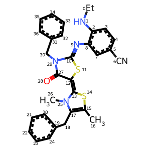 CCNc1ccc(C#N)cc1N=C1SC(=C2SC(C)=C(Cc3ccccc3)N2C)C(=O)N1Cc1ccccc1